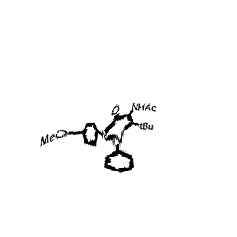 COc1ccc(-n2c(=O)c(NC(C)=O)c(C(C)(C)C)n2-c2ccccc2)cc1